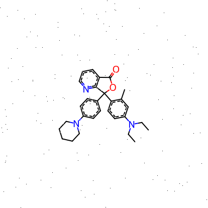 CCN(CC)c1ccc(C2(c3ccc(N4CCCCC4)cc3)OC(=O)c3cccnc32)c(C)c1